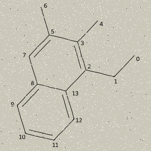 CCc1c(C)c(C)cc2ccccc12